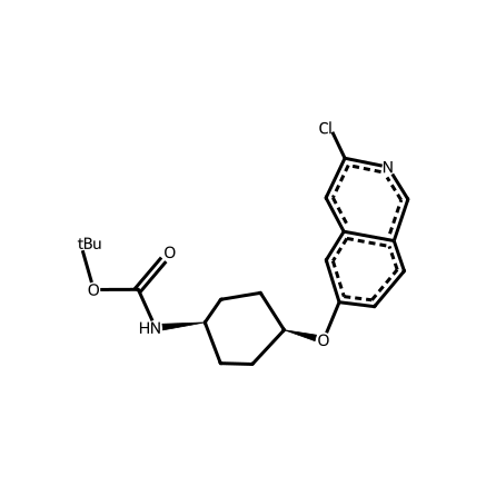 CC(C)(C)OC(=O)N[C@H]1CC[C@@H](Oc2ccc3cnc(Cl)cc3c2)CC1